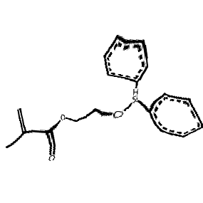 C=C(C)C(=O)OCCO[SiH](c1ccccc1)c1ccccc1